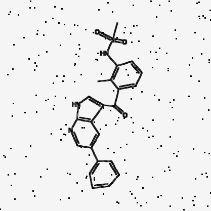 Cc1c(NS(C)(=O)=O)cccc1C(=O)c1c[nH]c2ncc(-c3ccccc3)cc12